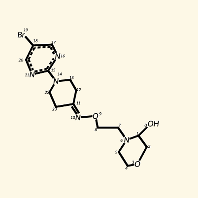 OC1COCCN1CCON=C1CCN(c2ncc(Br)cn2)CC1